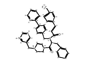 O=C([C@H](Cc1ccccc1)N(Cc1ccc(-c2ccccn2)cc1)C(=O)C=Cc1ccc(C(F)(F)F)cc1)N1CCN(Cc2cncnc2)CC1